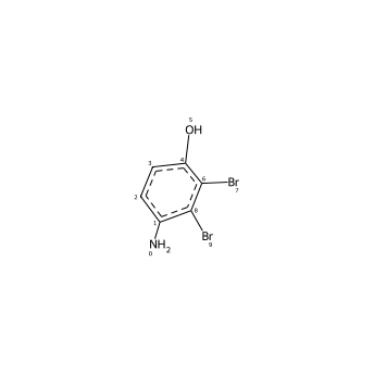 Nc1ccc(O)c(Br)c1Br